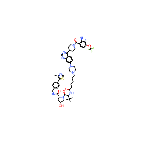 Cc1ncsc1-c1ccc([C@H](C)NC(=O)[C@@H]2C[C@@H](O)CN2C(=O)[C@@H](NC(=O)CCCCCN2CCN(c3ccc4c(C5CCN(C(=O)c6ccc(OC(F)(F)F)cc6N)CC5)ncnc4c3)CC2)C(C)(C)C)cc1